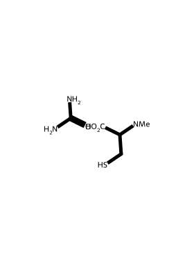 CNC(CS)C(=O)O.NC(N)=O